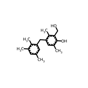 Cc1cc(C)c(C)c(Cc2cc(C)c(O)c(CO)c2C)c1